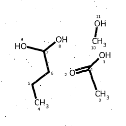 CC(=O)O.CCCC(O)O.CO